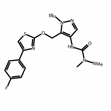 CNN(C)C(=O)Nc1cnn(C(C)(C)C)c1COc1nc(-c2ccc(F)cc2)cs1